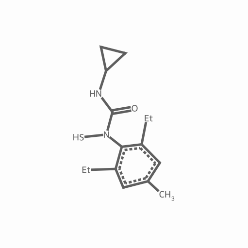 CCc1cc(C)cc(CC)c1N(S)C(=O)NC1CC1